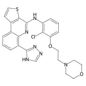 Clc1c(Nc2nc3c(-c4nnc[nH]4)cccc3c3ccsc23)cccc1OCCN1CCOCC1